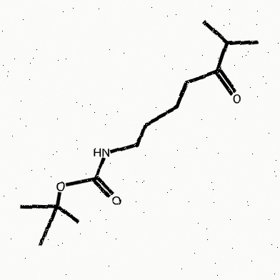 CC(C)C(=O)CCCCNC(=O)OC(C)(C)C